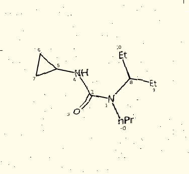 CCCN(C(=O)NC1CC1)C(CC)CC